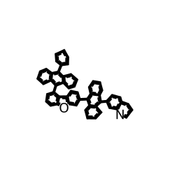 c1ccc(-c2c3ccccc3c(-c3cccc4oc5cc(-c6c7ccccc7c(-c7ccc8cccnc8c7)c7ccccc67)ccc5c34)c3ccccc23)cc1